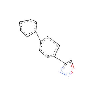 c1ccc(-c2ccc(-c3conn3)cc2)cc1